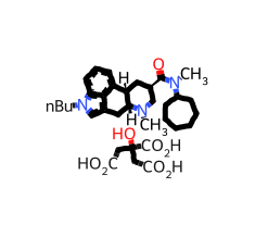 CCCCn1cc2c3c(cccc31)[C@H]1C[C@@H](C(=O)N(C)C3CCCCCC3)CN(C)[C@@H]1C2.O=C(O)CC(O)(CC(=O)O)C(=O)O